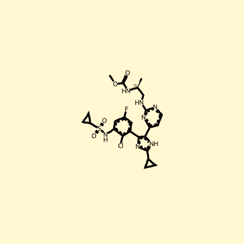 COC(=O)N[C@@H](C)CNc1nccc(-c2[nH]c(C3CC3)nc2-c2cc(F)cc(NS(=O)(=O)C3CC3)c2Cl)n1